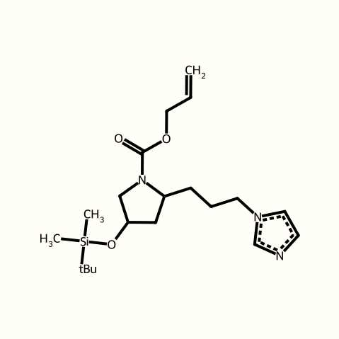 C=CCOC(=O)N1CC(O[Si](C)(C)C(C)(C)C)CC1CCCn1ccnc1